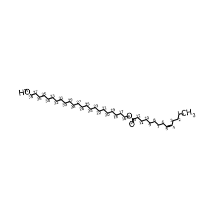 CCCC/C=C\CCCCCCCC(=O)OCCCCCCCCCCCCCCCCCCCCCCCO